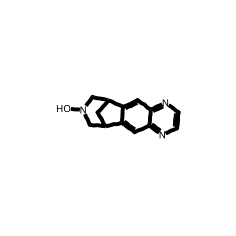 ON1CC2CC(C1)c1cc3nccnc3cc12